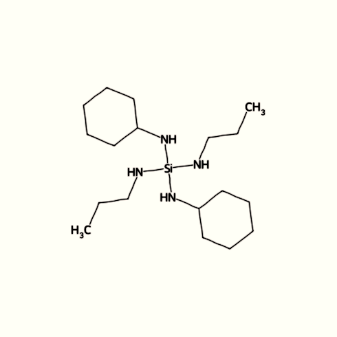 CCCN[Si](NCCC)(NC1CCCCC1)NC1CCCCC1